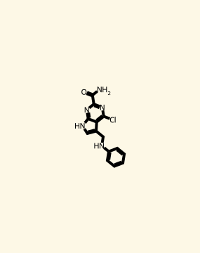 NC(=O)c1nc(Cl)c2c(CNc3ccccc3)c[nH]c2n1